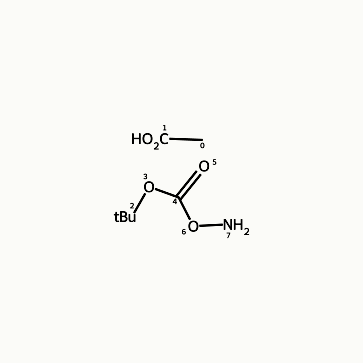 CC(=O)O.CC(C)(C)OC(=O)ON